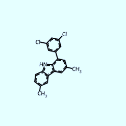 Cc1ccc2[nH]c3c(-c4cc(Cl)cc(Cl)c4)cc(C)cc3c2c1